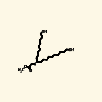 COC(=O)CSC(CCCCCCCCCO)CCCCCCCCCCO